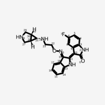 O=C1Nc2ccc(F)cc2/C1=C1/Nc2ccccc2/C1=N\OCCN[C@@H]1[C@@H]2CNC[C@@H]21